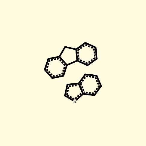 c1ccc2c(c1)Cc1ccccc1-2.c1ccc2sccc2c1